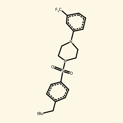 CC(C)(C)Cc1ccc(S(=O)(=O)N2CCN(c3cccc(C(F)(F)F)c3)CC2)cc1